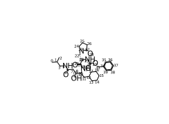 CC(C)CNC(=O)C[C@H](O)[C@H](CC1CCCCC1)NC(=O)[C@H](CN1CCCC1=O)NC(=O)OCc1ccccc1